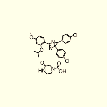 COc1ccc(C2=NC3(c4ccc(Cl)cc4)C(c4ccc(Cl)cc4)N23)c(OC(C)C)c1.O=C1CN(C(=O)O)CCN1